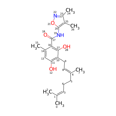 CC(C)=CCC/C(C)=C/Cc1c(O)cc(C)c(C(=O)Nc2onc(C)c2C)c1O